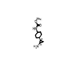 CC(C)(C)OC(=O)NC1CCC([C@H]2C[C@@H]2N)CC1